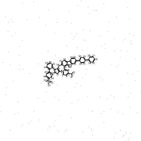 CC(C)c1cc[n+]2c(c1)-c1c(ccc3c1oc1cc(-c4ccc(-c5ccccc5)cc4)ccc13)CC1=C2CC2C1c1ccccc1-c1ccc([Si](C)(C)C)c[n+]12